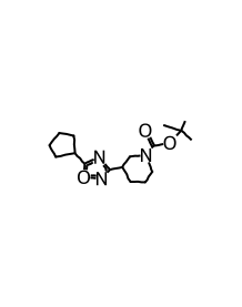 CC(C)(C)OC(=O)N1CCCC(c2noc(C3CCCC3)n2)C1